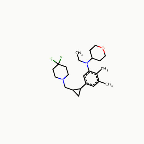 CCN(c1cc(C2CC2CN2CCC(F)(F)CC2)cc(C)c1C)C1CCOCC1